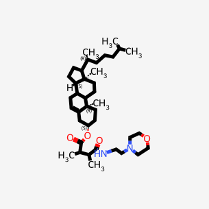 CC(C)CCC[C@@H](C)C1CC[C@H]2C3CC=C4C[C@@H](OC(=O)C(C)C(C)C(=O)NCCN5CCOCC5)CC[C@]4(C)C3CC[C@]12C